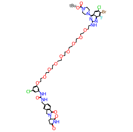 CC(C)(C)OC(=O)N1CCN(c2nc(NCCOCCOCCOCCOCCOCCOCCOCCOCCOc3cc(Cl)cc(NC(=O)NCc4ccc5c(c4)CN(C4CCC(=O)NC4=O)C5=O)c3)nc3c(F)c(Br)c(Cl)cc23)CC1